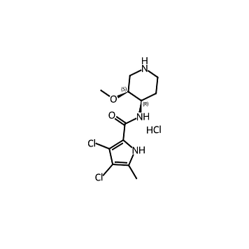 CO[C@H]1CNCC[C@H]1NC(=O)c1[nH]c(C)c(Cl)c1Cl.Cl